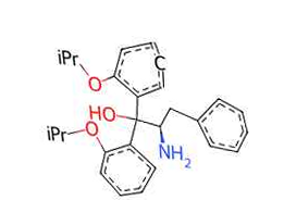 CC(C)Oc1ccccc1C(O)(c1ccccc1OC(C)C)[C@H](N)Cc1ccccc1